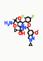 COc1cc(C(=O)NC[C@](O)(c2cc3c(c(-c4ccc(F)cc4F)n2)OC[C@]3(C)C(N)=O)C2CC2)cc2cn(C3CC3)nc12